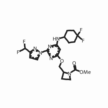 COC(=O)N1CCC1COc1cc(NC2CCC(F)(F)CC2)nc(-n2ccc(C(F)F)n2)n1